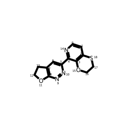 [c]1cc2c(c(-c3cc4c(nn3)OCC4)n1)OCCS2